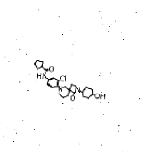 O=C(Nc1ccc(N2CCCC3(CCN(C4CCC(O)CC4)C3=O)C2)c(Cl)c1)C1CCCC1